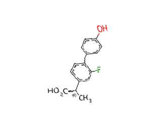 C[C@@H](C(=O)O)c1ccc(-c2ccc(O)cc2)c(F)c1